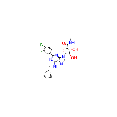 CNC(=O)[C@H]1OC(n2cnc3c(NCc4ccccc4)nc(-c4ccc(F)c(F)c4)nc32)[C@H](O)[C@@H]1O